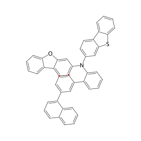 c1cc(-c2ccccc2N(c2ccc3c(c2)oc2ccccc23)c2ccc3c(c2)sc2ccccc23)cc(-c2cccc3ccccc23)c1